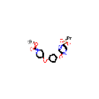 CC(C)S(=O)(=O)c1cnc(O[C@H]2CC[C@H](OC3CCN(C(=O)OC(C)(C)C)CC3)CC2)cn1